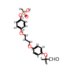 CC(C)(C=O)Oc1ccc(OCCCOc2ccc(OS(C)(=O)=O)cc2)cc1